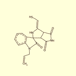 C=CCN1C(=O)C2(N/C(=C\S)C3C(=O)NC(=O)C32)c2ccccc21